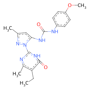 CCc1c(C)nc(-n2nc(C)cc2NC(=O)Nc2ccc(OC)cc2)[nH]c1=O